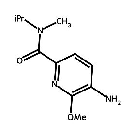 COc1nc(C(=O)N(C)C(C)C)ccc1N